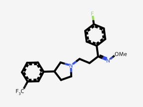 CO/N=C(/CCN1CCC(c2cccc(C(F)(F)F)c2)C1)c1ccc(F)cc1